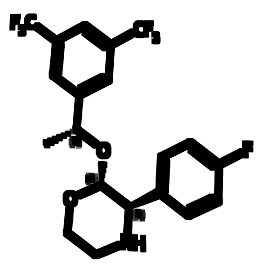 C[C@@H](O[C@H]1OCCN[C@@H]1c1ccc(F)cc1)c1cc(C(F)(F)F)cc(C(F)(F)F)c1